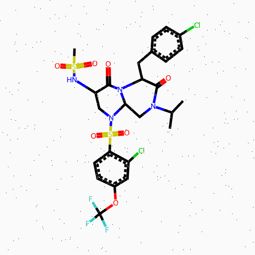 CC(C)N1CC2N(C(=O)C(NS(C)(=O)=O)CN2S(=O)(=O)c2ccc(OC(F)(F)F)cc2Cl)C(Cc2ccc(Cl)cc2)C1=O